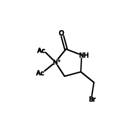 CC(=O)[N+]1(C(C)=O)CC(CBr)NC1=O